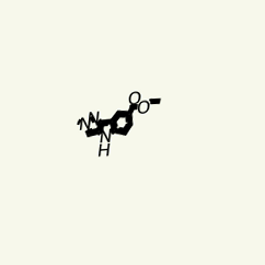 CCOC(=O)c1ccc2[nH]c3cn(C)nc3c2c1